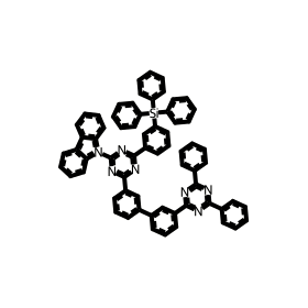 c1ccc(-c2nc(-c3ccccc3)nc(-c3cccc(-c4cccc(-c5nc(-c6cccc([Si](c7ccccc7)(c7ccccc7)c7ccccc7)c6)nc(-n6c7ccccc7c7ccccc76)n5)c4)c3)n2)cc1